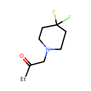 CCC(=O)CN1CCC(F)(F)CC1